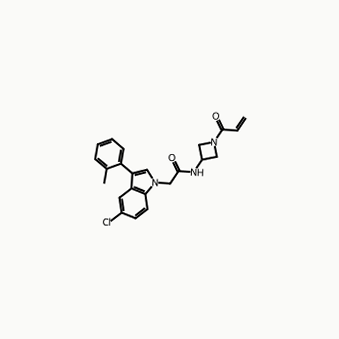 C=CC(=O)N1CC(NC(=O)Cn2cc(-c3ccccc3C)c3cc(Cl)ccc32)C1